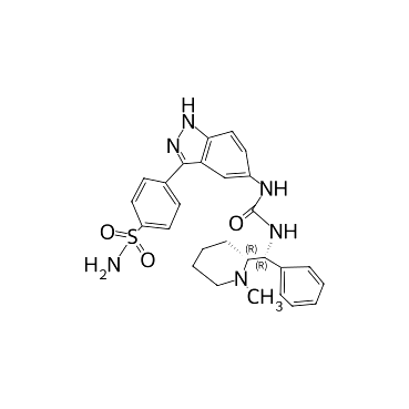 CN1CCCC[C@@H]1[C@H](NC(=O)Nc1ccc2[nH]nc(-c3ccc(S(N)(=O)=O)cc3)c2c1)c1ccccc1